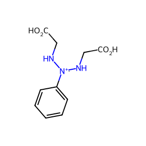 O=C(O)CN[N+](NCC(=O)O)c1ccccc1